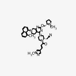 Cc1cccc2cccc(N3CCc4c(nc(OC[C@@H]5CCCN5C)nc4N4CCN(C(=O)/C=C/c5cnn(C)c5)[C@@H](CC#N)C4)C3)c12